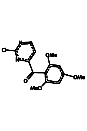 COc1cc(OC)c(C(=O)c2ccnc(Cl)n2)c(OC)c1